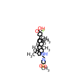 C=C(C)[C@@H]1CC[C@]2(NCCN3CCC(S(C)(=O)=O)CC3)CC[C@]3(C)C(CC[C@@H]4[C@@]5(C)CC=C(C6=CC[C@@](CF)(C(=O)O)CC6)C(C)(C)[C@@H]5CC[C@]43C)[C@@H]12